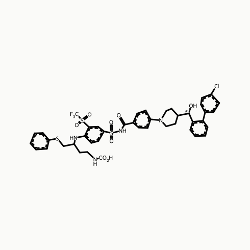 O=C(O)NCCC(CSc1ccccc1)Nc1ccc(S(=O)(=O)NC(=O)c2ccc(N3CCC([C@@H](O)c4ccccc4-c4ccc(Cl)cc4)CC3)cc2)cc1S(=O)(=O)C(F)(F)F